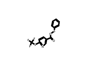 O=C(OSc1ccccc1)c1ccc(SC(F)(F)F)nc1